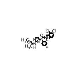 COC[C@H](C)Nc1nccc(N(C(=O)NCc2c(Cl)ccc(Cl)c2Cl)c2ccc(F)cc2)n1